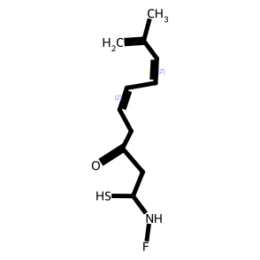 C=C(C)/C=C\C=C/CC(=O)CC(S)NF